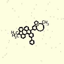 C=C1/C=C\CCCc2cc(-c3c4ccccc4c(-c4cccc5c4-c4ccccc4C5(C)C)c4cc(-c5ccccc5)ccc34)ccc2S2(CCCC2)C1